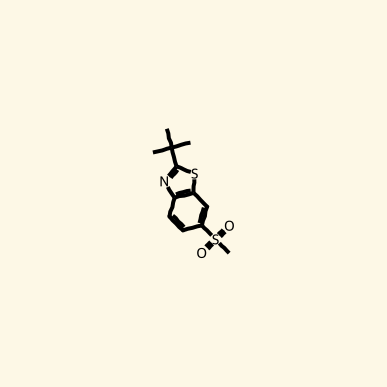 CC(C)(C)c1nc2ccc(S(C)(=O)=O)cc2s1